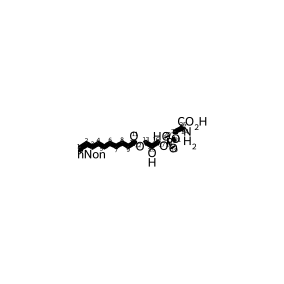 CCCCCCCCC/C=C\CCCCCCCC(=O)OC[C@@H](O)COP(=O)(O)OC[C@H](N)C(=O)O